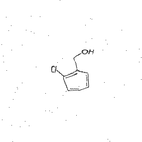 OCc1ccc[c]c1Cl